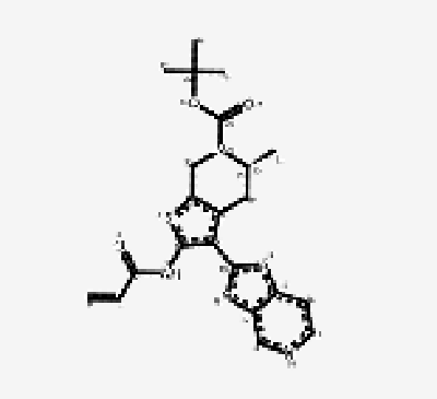 C=CC(=O)Nc1sc2c(c1-c1nc3cnccc3s1)C[C@H](C)N(C(=O)OC(C)(C)C)C2